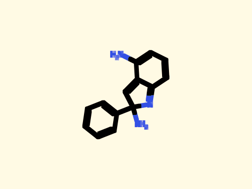 Nc1cccc2c1=CC(N)(c1ccccc1)N=2